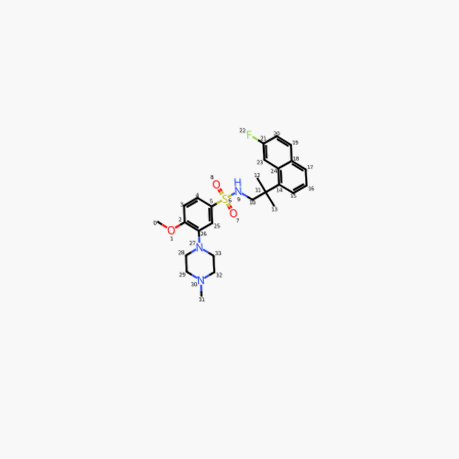 COc1ccc(S(=O)(=O)NCC(C)(C)c2cccc3ccc(F)cc23)cc1N1CCN(C)CC1